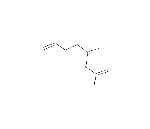 C=CCCC(C)CC(=C)C